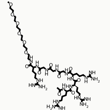 COCCOCCOCCOCCOCCOCCNC(=O)C(CCCNC(=N)N)NC(=O)CNC(=O)CNC(=O)CNC(=O)C(CCCNC(=N)N)NC(=O)[C@@H](CCCNC(=N)N)NC(=O)C(CCCNC(=N)N)NC(C)=O